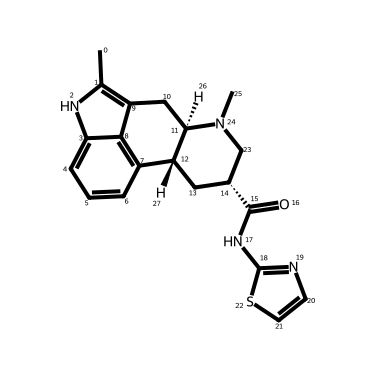 Cc1[nH]c2cccc3c2c1C[C@@H]1[C@@H]3C[C@@H](C(=O)Nc2nccs2)CN1C